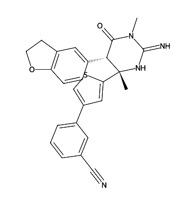 CN1C(=N)N[C@](C)(c2cc(-c3cccc(C#N)c3)cs2)[C@H](c2ccc3c(c2)CCO3)C1=O